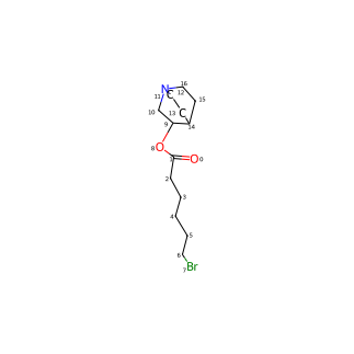 O=C(CCCCCBr)OC1CN2CCC1CC2